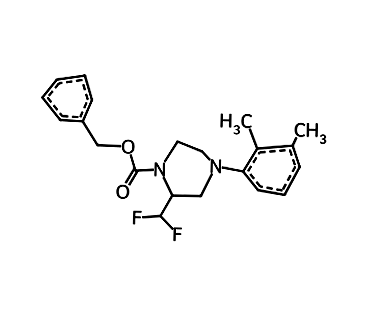 Cc1cccc(N2CCN(C(=O)OCc3ccccc3)C(C(F)F)C2)c1C